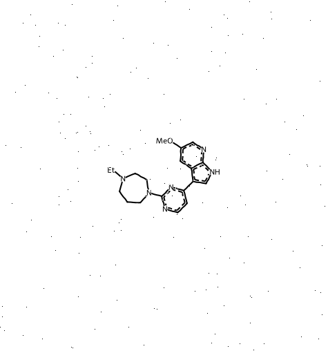 CCN1CCCN(c2nccc(-c3c[nH]c4ncc(OC)cc34)n2)CC1